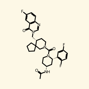 CC(=O)N[C@@H]1CCN(C(=O)N2CC[C@@H](Cn3cnc4ccc(F)cc4c3=O)C3(CCCC3)C2)[C@H](c2cc(F)ccc2F)C1